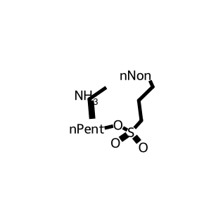 C=CC.CCCCCCCCCCCCS(=O)(=O)OCCCCC.N